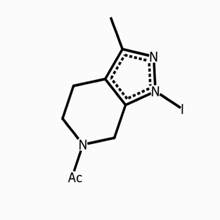 CC(=O)N1CCc2c(C)nn(I)c2C1